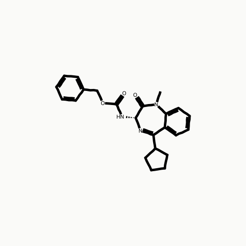 CN1C(=O)[C@@H](NC(=O)OCc2ccccc2)N=C(C2CCCC2)c2ccccc21